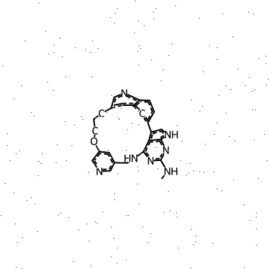 CNc1nc2c3c(c[nH]c3n1)-c1ccc3ncc(cc3c1)CCCOc1cncc(c1)CN2